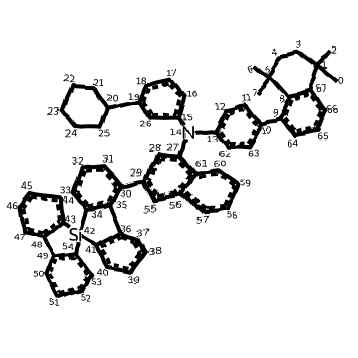 CC1(C)CCC(C)(C)c2c(-c3ccc(N(c4cccc(C5CCCCC5)c4)c4cc(-c5cccc6c5-c5ccccc5[Si]65c6ccccc6-c6ccccc65)cc5ccccc45)cc3)cccc21